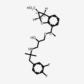 C[C@@H](OCC(O)CNC(C)(C)Cc1ccc(F)c(F)c1)c1cccc2c1O[C@@H]1[C@@H](C(=O)O)[C@H]21